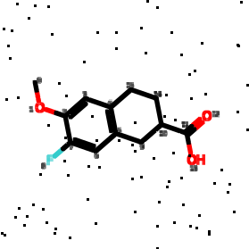 COc1cc2c(cc1F)CC(C(=O)O)CC2